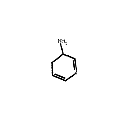 NC1C=IC=CC1